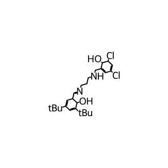 CC(C)(C)C1=CC(/C=N/CCCNCC2=CC(Cl)=CC(Cl)C2O)C(O)C(C(C)(C)C)=C1